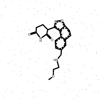 COCCNCc1ccc2c(ccc3onc(C4CCC(=O)NC4=O)c32)c1